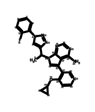 CC(c1cn(-c2ccccc2F)nn1)n1cc(-c2cnccc2OC2CC2)c2c(N)ncnc21